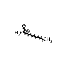 CCCCCCCCCCC(=O)CC(C)CC=O